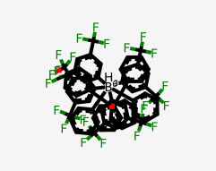 FC(F)(F)c1cc(C(F)(F)F)cc([BH3-6](c2cc(C(F)(F)F)cc(C(F)(F)F)c2)(c2cc(C(F)(F)F)cc(C(F)(F)F)c2)(c2cc(C(F)(F)F)cc(C(F)(F)F)c2)(C(c2ccccc2)(c2ccccc2)c2ccccc2)C(c2ccccc2)(c2ccccc2)c2ccccc2)c1